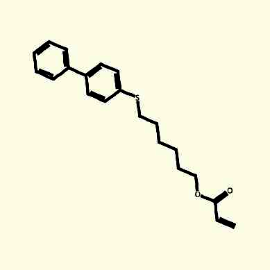 C=CC(=O)OCCCCCCSc1ccc(-c2ccccc2)cc1